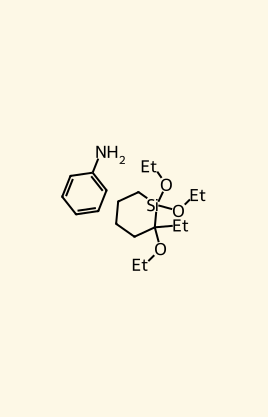 CCOC1(CC)CCCC[Si]1(OCC)OCC.Nc1ccccc1